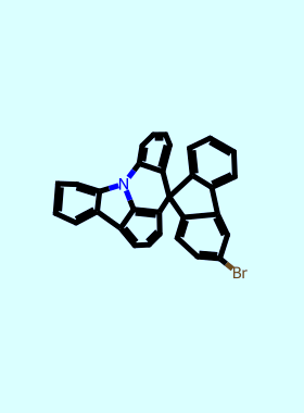 Brc1ccc2c(c1)-c1ccccc1C21c2ccccc2-n2c3ccccc3c3cccc1c32